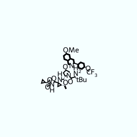 C=C[C@@H]1C[C@]1(NC(=O)[C@@H]1C[C@@H](Oc2nc(-c3ccc(OC(F)(F)F)cc3)cc3cc(OC)ccc23)CN1C(=O)[C@@H](N)C(C)(C)C)C(=O)NS(=O)(=O)C1CC1